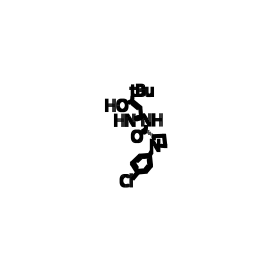 CC(C)(C)/C(O)=C/C(=N)NC(=O)[C@@H]1CCN1c1ccc(Cl)cc1